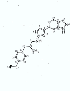 N[C@H](CNc1ncc(-c2ccc3cn[nH]c3c2)s1)Cc1ccc(CF)cc1